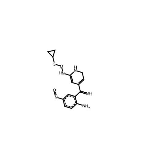 N=C(C1=CCNC(NOSC2CC2)=C1)c1cc(N=O)ccc1N